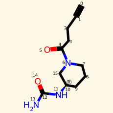 C#CCCC(=O)N1CCC[C@@H](NC(N)=O)C1